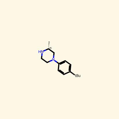 C[C@@H]1CN(c2ccc(C(C)(C)C)cc2)CCN1